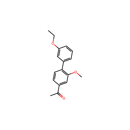 CCOc1cccc(-c2ccc(C(C)=O)cc2OC)c1